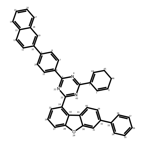 C1=CC(c2nc(-c3ccc(-c4ccc5ccccc5c4)cc3)nc(-c3cccc4oc5cc(-c6ccccc6)ccc5c34)n2)=CCC1